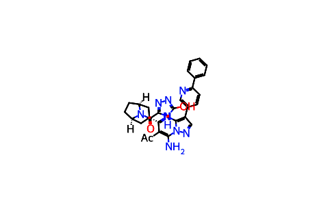 CC(=O)c1c([C@@H]2C[C@H]3CC[C@@H](C2)N3C(=O)c2nnc(O)[nH]2)nc2c(-c3ccc(-c4ccccc4)nc3)cnn2c1N